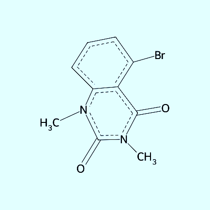 Cn1c(=O)c2c(Br)cccc2n(C)c1=O